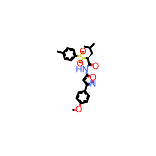 COc1ccc(-c2cc(NC(=O)[C@H](CC(C)C)S(=O)(=O)c3ccc(C)cc3)on2)cc1